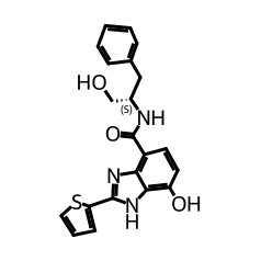 O=C(N[C@H](CO)Cc1ccccc1)c1ccc(O)c2[nH]c(-c3cccs3)nc12